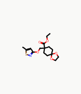 CCOC(=O)C1(COc2cc(C)sn2)CCC2(CC1)OCCO2